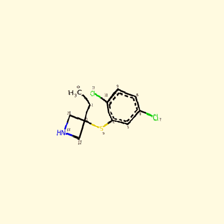 CCC1(Sc2cc(Cl)ccc2Cl)CNC1